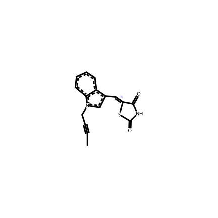 CC#CCn1cc(/C=C2\SC(=O)NC2=O)c2ccccc21